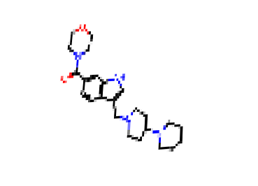 O=C(c1ccc2c(CN3CCC(N4CCCCC4)CC3)c[nH]c2c1)N1CCOCC1